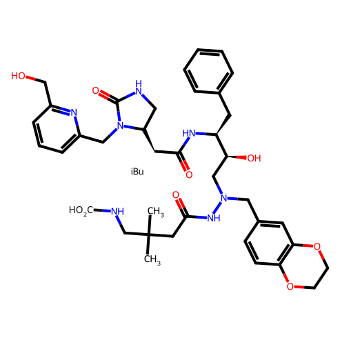 CC[C@H](C)[C@H](C(=O)N[C@@H](Cc1ccccc1)[C@@H](O)CN(Cc1ccc2c(c1)OCCO2)NC(=O)CC(C)(C)CNC(=O)O)C1CNC(=O)N1Cc1cccc(CO)n1